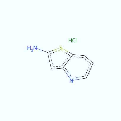 Cl.Nc1cc2ncccc2s1